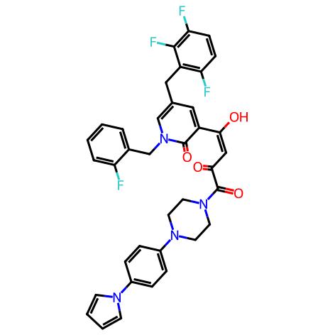 O=C(/C=C(/O)c1cc(Cc2c(F)ccc(F)c2F)cn(Cc2ccccc2F)c1=O)C(=O)N1CCN(c2ccc(-n3cccc3)cc2)CC1